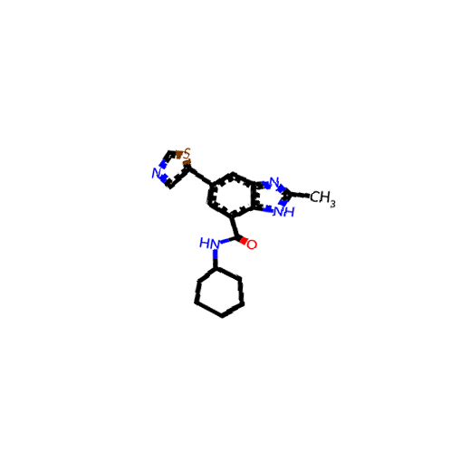 Cc1nc2cc(-c3cncs3)cc(C(=O)NC3CCCCC3)c2[nH]1